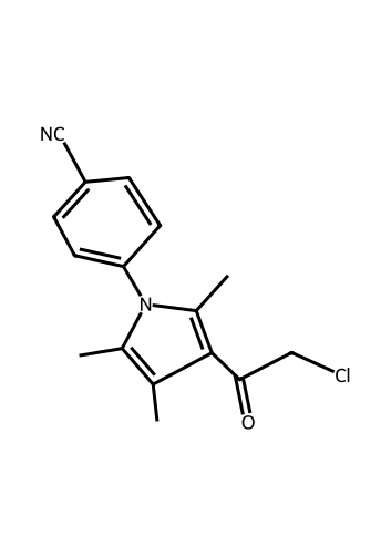 Cc1c(C(=O)CCl)c(C)n(-c2ccc(C#N)cc2)c1C